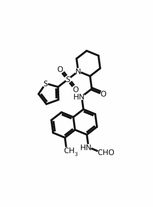 Cc1cccc2c(NC(=O)C3CCCCN3S(=O)(=O)c3cccs3)ccc(NC=O)c12